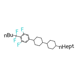 CCCCCCCC1CCC(C2CCC(c3cc(F)c(C(F)(F)CCCC)c(F)c3)CC2)CC1